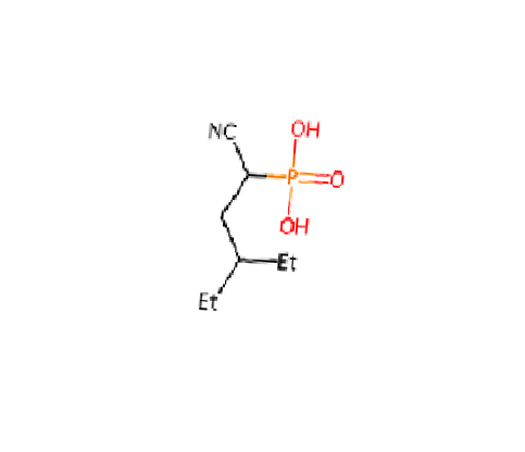 CCC(CC)CC(C#N)P(=O)(O)O